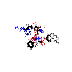 CCC(CC)OC(=O)[C@H](C)NP(=O)(OC[C@@]1(C#N)O[C@@H](c2ccc3c(N)ncnn23)[C@H](O)[C@@H]1O)Oc1ccccc1